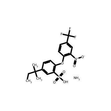 CCC(C)(C)c1ccc(Oc2ccc(C(F)(F)F)cc2[N+](=O)[O-])c(S(=O)(=O)O)c1.N